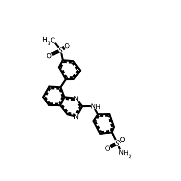 CS(=O)(=O)c1cccc(-c2cccc3cnc(Nc4ccc(S(N)(=O)=O)cc4)nc23)c1